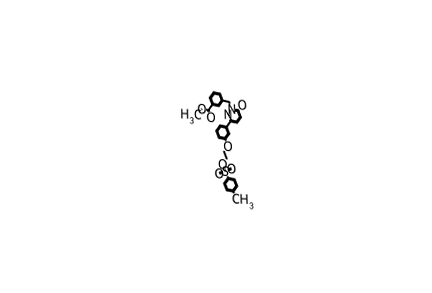 COC(=O)c1cccc(Cn2nc(-c3cccc(OCCOS(=O)(=O)c4ccc(C)cc4)c3)ccc2=O)c1